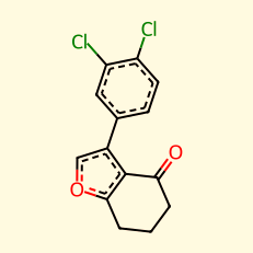 O=C1CCCc2occ(-c3ccc(Cl)c(Cl)c3)c21